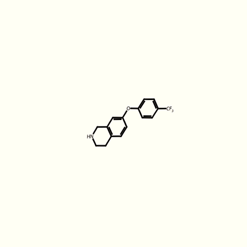 FC(F)(F)c1ccc(Oc2ccc3c(c2)CNCC3)cc1